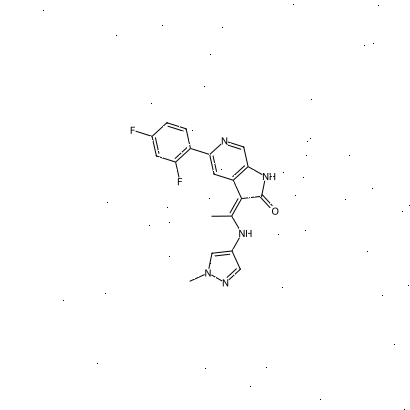 C/C(Nc1cnn(C)c1)=C1/C(=O)Nc2cnc(-c3ccc(F)cc3F)cc21